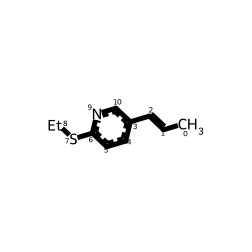 C/C=C/c1ccc(SCC)nc1